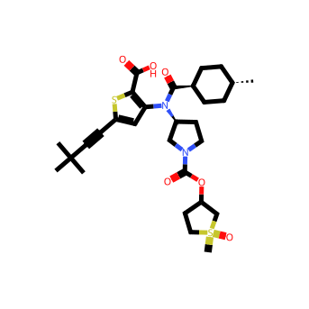 C=S1(=O)CCC(OC(=O)N2CC[C@H](N(c3cc(C#CC(C)(C)C)sc3C(=O)O)C(=O)[C@H]3CC[C@H](C)CC3)C2)C1